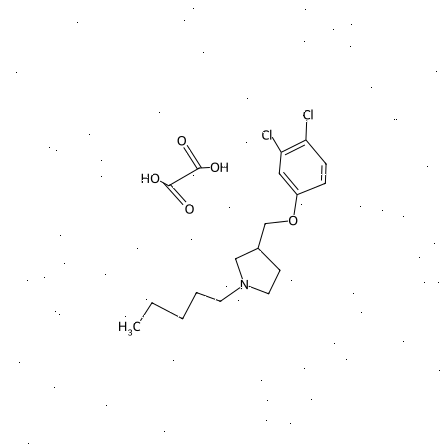 CCCCCN1CCC(COc2ccc(Cl)c(Cl)c2)C1.O=C(O)C(=O)O